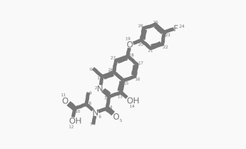 Cc1nc(C(=O)N(C)C(C)C(=O)O)c(O)c2ccc(Oc3ccc(F)cc3)cc12